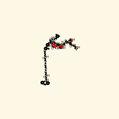 CCc1cc(OCCCCNC(=O)CCOCCOCCOCCOCCNC(=O)CCC(=O)N2Cc3ccccc3C#Cc3ccccc32)ccc1-c1ccc(C[C@H](NC(=O)[C@H](CC(=O)O)NC(=O)[C@H](CO)NC(=O)[C@@H](NC(=O)[C@](C)(Cc2ccccc2F)NC(=O)[C@@H](NC(=O)CNC(=O)[C@H](Cc2nn[nH]n2)NC(=O)C(C)(C)C(=O)NCCc2cnc[nH]2)[C@@H](C)O)[C@@H](C)O)C(=O)N[C@@H](CCCc2cc(C)cc(C)c2)C(N)=O)cc1